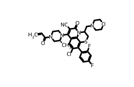 C=CC(=O)N1CCN(c2c(C#N)c(=O)n3c4c(c(-c5ccc(F)cc5F)c(Cl)cc24)SCC3CN2CCOCC2)[C@@H](C)C1